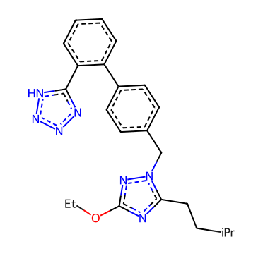 CCOc1nc(CCC(C)C)n(Cc2ccc(-c3ccccc3-c3nnn[nH]3)cc2)n1